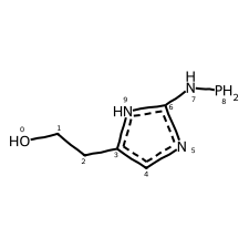 OCCc1cnc(NP)[nH]1